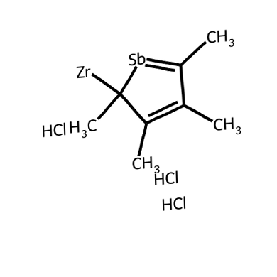 C[C]1=[Sb][C](C)([Zr])C(C)=C1C.Cl.Cl.Cl